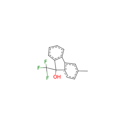 Cc1ccc2c(c1)-c1ccccc1C2(O)C(F)(F)F